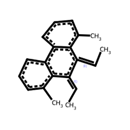 C/C=c1/c(=C/C)c2c(C)cccc2c2cccc(C)c12